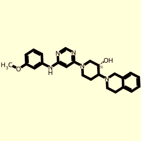 COc1cccc(Nc2cc(N3CCC(N4CCc5ccccc5C4)[C@@H](O)C3)ncn2)c1